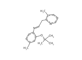 Cc1ccc(N=CCc2ncccc2C)c(O[Si](C)(C)C)c1